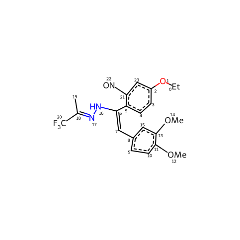 CCOc1ccc(/C(=C\c2ccc(OC)c(OC)c2)N/N=C(\C)C(F)(F)F)c(N=O)c1